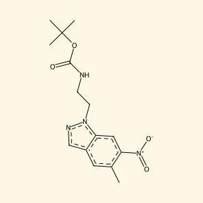 Cc1cc2cnn(CCNC(=O)OC(C)(C)C)c2cc1[N+](=O)[O-]